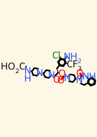 Nc1c(Cl)cc(C[C@@H](OC(=O)N2CCC(N3CCc4ccccc4NC3=O)CC2)C(=O)N2CCC(N3CCC(NCC(=O)O)CC3)CC2)cc1C(F)(F)F